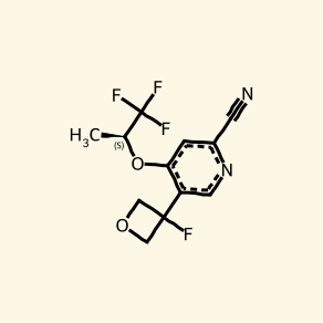 C[C@H](Oc1cc(C#N)ncc1C1(F)COC1)C(F)(F)F